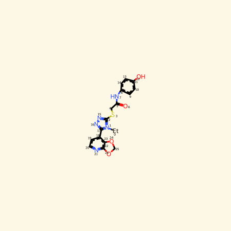 CCn1c(SCC(=O)Nc2ccc(O)cc2)nnc1-c1ccnc2c1OCO2